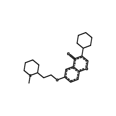 CN1CCCCC1CCOc1ccc2occ(C3CCCCC3)c(=O)c2c1